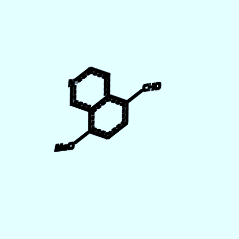 COc1ccc(C=O)c2ccncc12